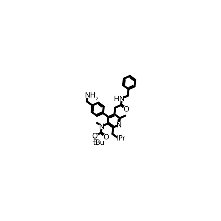 Cc1nc(CC(C)C)c(N(C)C(=O)OC(C)(C)C)c(-c2ccc(CN)cc2)c1CC(=O)NCc1ccccc1